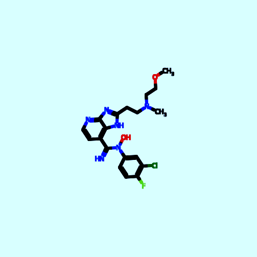 COCCN(C)CCc1nc2nccc(C(=N)N(O)c3ccc(F)c(Cl)c3)c2[nH]1